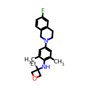 CCC1(Nc2c(C)cc(N3CCc4cc(F)ccc4C3)cc2C)COC1